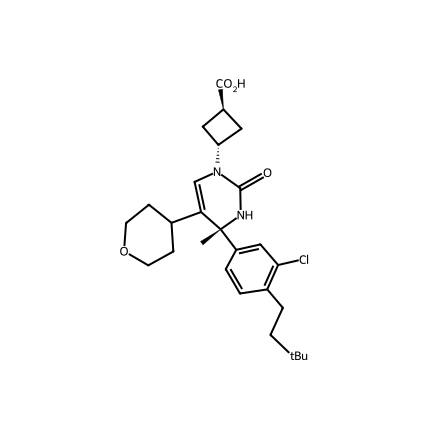 CC(C)(C)CCc1ccc([C@@]2(C)NC(=O)N([C@H]3C[C@H](C(=O)O)C3)C=C2C2CCOCC2)cc1Cl